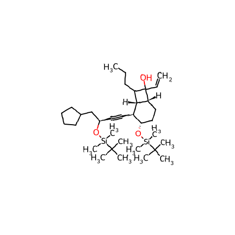 C=CC1(O)C(CCC)[C@H]2[C@H](C#C[C@H](CC3CCCC3)O[Si](C)(C)C(C)(C)C)[C@@H](O[Si](C)(C)C(C)(C)C)CC[C@H]21